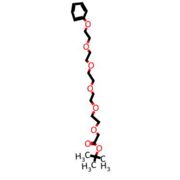 CC(C)(C)OC(=O)COCCOCCOCCOCCOCCOc1ccccc1